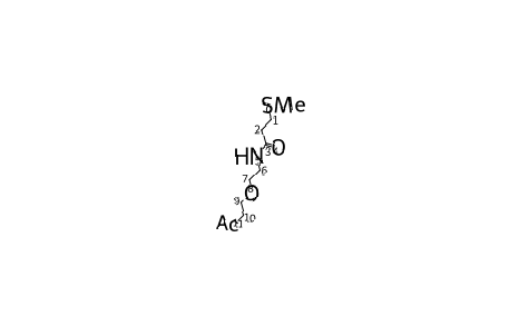 CSCCC(=O)NCCOCCC(C)=O